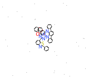 c1ccc(-c2nc(-c3cccc4nc(-c5ccccc5)sc34)nc(-n3c4ccccc4c4ccc5c6ccccc6n(-c6ccc7oc8ccccc8c7c6)c5c43)n2)cc1